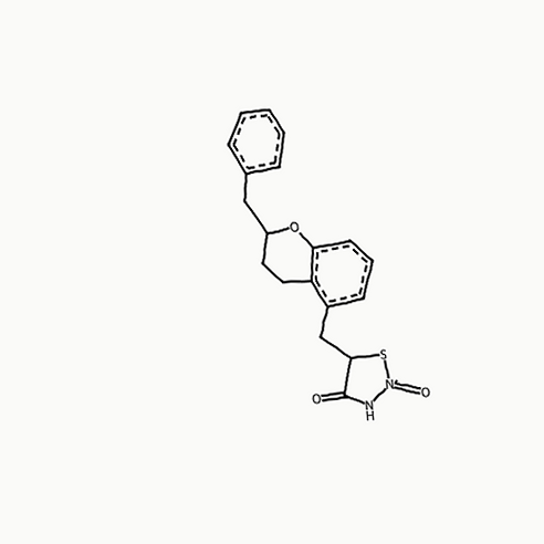 O=C1N[N+](=O)SC1Cc1cccc2c1CCC(Cc1ccccc1)O2